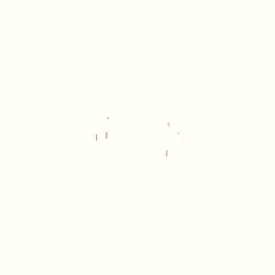 Cc1cc(P2(=O)N(c3cccc(-c4ccccc4)c3)c3ccccc3N2c2cccc(-c3ccccc3)c2)c(C)cc1P1(=O)N(c2cccc(-c3ccccc3)c2)c2ccccc2N1c1cccc(-c2ccccc2)c1